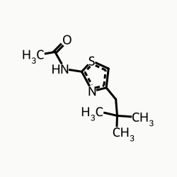 CC(=O)Nc1nc(CC(C)(C)C)cs1